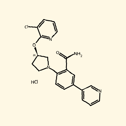 Cl.NC(=O)c1cc(-c2cccnc2)ccc1N1CC[C@@H](Oc2ncccc2Cl)C1